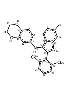 Cc1ccn2c(Nc3ccc4c(c3)OCCO4)c(-c3c(Cl)cccc3Cl)nc2c1